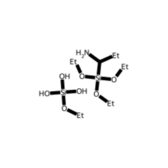 CCO[Si](O)(O)O.CCO[Si](OCC)(OCC)C(N)CC